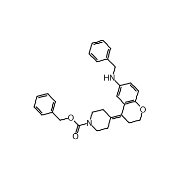 O=C(OCc1ccccc1)N1CCC(=C2CCOc3ccc(NCc4ccccc4)cc32)CC1